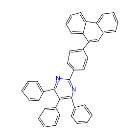 c1ccc(-c2nc(-c3ccc(-c4cc5ccccc5c5ccccc45)cc3)nc(-c3ccccc3)c2-c2ccccc2)cc1